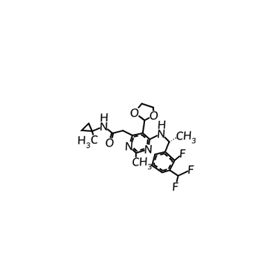 Cc1nc(CC(=O)NC2(C)CC2)c(C2OCCO2)c(N[C@H](C)c2cccc(C(F)F)c2F)n1